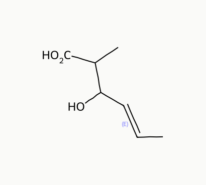 C/C=C/C(O)C(C)C(=O)O